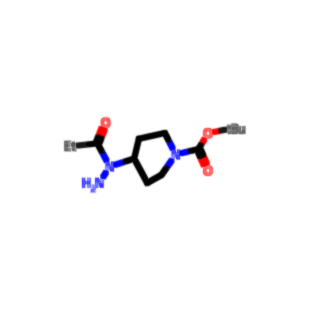 CCC(=O)N(N)C1CCN(C(=O)OC(C)(C)C)CC1